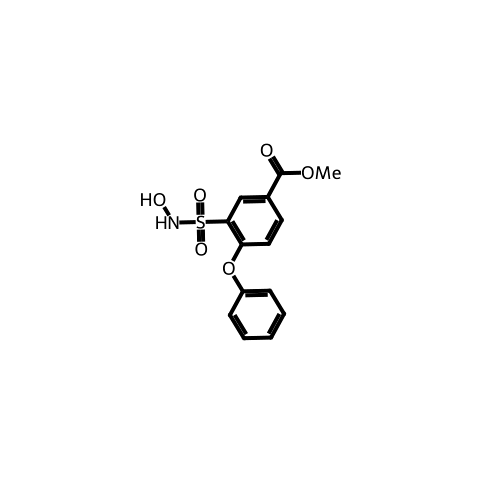 COC(=O)c1ccc(Oc2ccccc2)c(S(=O)(=O)NO)c1